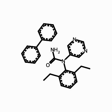 CCc1cccc(CC)c1N(C(N)=O)c1cncnc1.c1ccc(-c2ccccc2)cc1